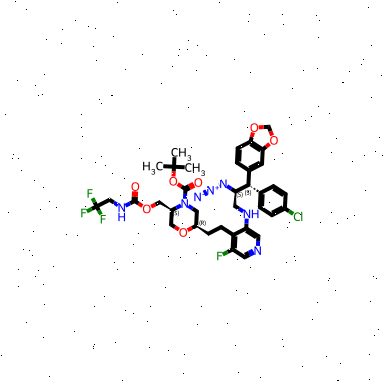 CC(C)(C)OC(=O)N1C[C@@H](CCc2c(F)cncc2NC[C@@H](N=[N+]=[N-])[C@@H](c2ccc(Cl)cc2)c2ccc3c(c2)OCO3)OC[C@H]1COC(=O)NCC(F)(F)F